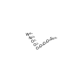 [Ni+2].[O-2].[O-2].[O-2].[O-2].[O-2].[O-2].[Sn+4].[W+6]